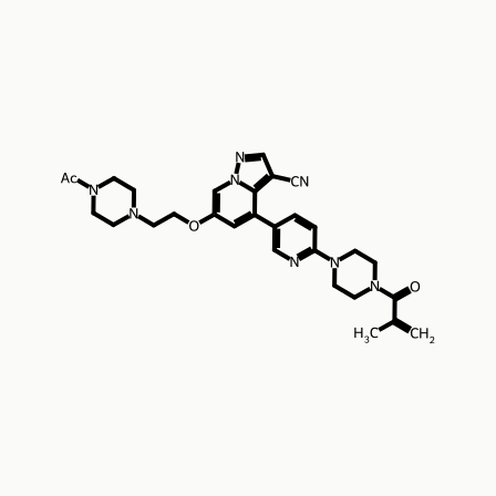 C=C(C)C(=O)N1CCN(c2ccc(-c3cc(OCCN4CCN(C(C)=O)CC4)cn4ncc(C#N)c34)cn2)CC1